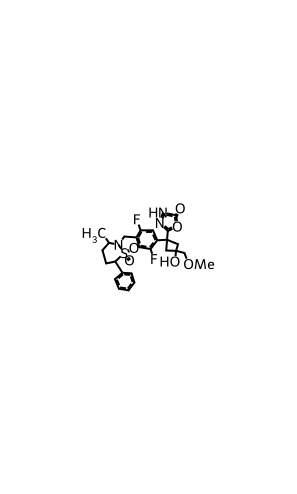 COCC1(O)CC(c2n[nH]c(=O)o2)(c2cc(F)c(CN3C(C)CCC(c4ccccc4)S3(=O)=O)cc2F)C1